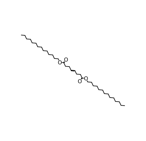 CCCCCCCCCCCCCCOC(=O)CCC=CCCC(=O)OCCCCCCCCCCCCCC